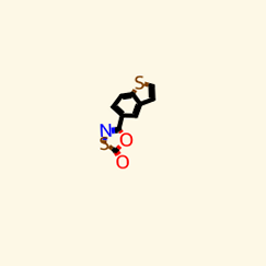 O=c1oc(-c2ccc3sccc3c2)ns1